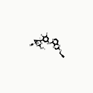 C#CCOc1cnc2c(Nc3cc(F)c(F)c([C@@]4(C)N=C(N)S[C@@]5(C#N)C[C@H]54)c3)nccc2n1